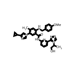 COc1ccc(CNc2cc(C)c(-n3cnc(C4CC4)c3)cc2C(=O)Nc2cccc(-c3nncn3C(C)CO)n2)cc1